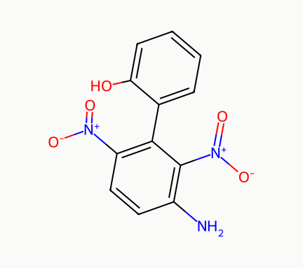 Nc1ccc([N+](=O)[O-])c(-c2ccccc2O)c1[N+](=O)[O-]